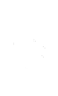 CCCCc1nnn(CC)c1CC